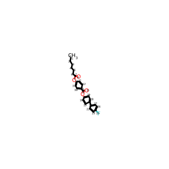 CCCCCCCC(=O)Oc1ccc(C(=O)Oc2ccc(-c3ccc(F)cc3)cc2)cc1